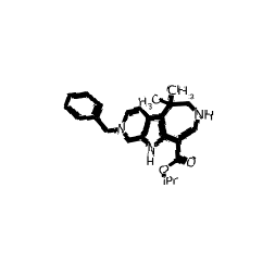 CC(C)OC(=O)C1=CNCC(C)(C)c2c1[nH]c1c2C=CN(Cc2ccccc2)C1